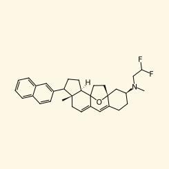 CN(CC(F)F)[C@H]1CCC2=CC3=CC[C@]4(C)C(c5ccc6ccccc6c5)CC[C@H]4C34CC[C@]2(C1)O4